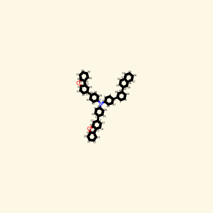 c1cc(-c2ccc(N(c3ccc(-c4ccc5c(c4)oc4ccccc45)cc3)c3ccc(-c4ccc5oc6ccccc6c5c4)cc3)cc2)cc(-c2ccc3ccccc3c2)c1